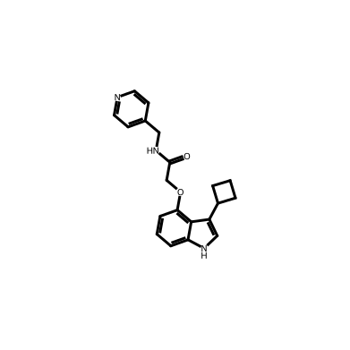 O=C(COc1cccc2[nH]cc(C3CCC3)c12)NCc1ccncc1